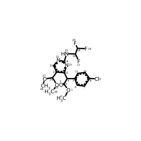 COC(=O)C(c1ccc(Cl)cc1)c1nc(NC(F)C(F)F)ncc1C(OC)OC